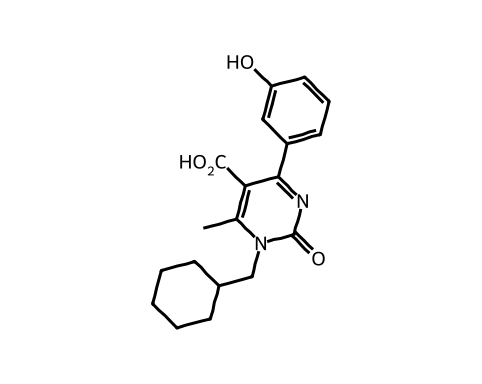 Cc1c(C(=O)O)c(-c2cccc(O)c2)nc(=O)n1CC1CCCCC1